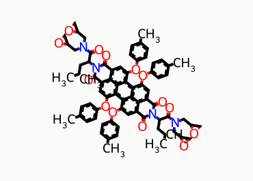 Cc1ccc(Oc2cc3c4c(cc(Oc5ccc(C)cc5)c5c6c(Oc7ccc(C)cc7)cc7c8c(cc(Oc9ccc(C)cc9)c(c2c45)c86)C(=O)N(C(CC(C)C)C(=O)N(CC2CO2)CC2CO2)C7=O)C(=O)N(C(CC(C)C)C(=O)N(CC2CO2)CC2CO2)C3=O)cc1